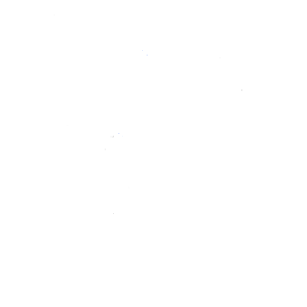 N=C(OC1=CCC(F)C=C1)c1cc(C=O)ccc1Nc1cccc(OC(F)F)c1